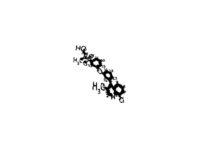 Cc1cnc2c(Cl)cccc2c1-c1cccc(Oc2cccc(S(=O)(=O)N(C)CCO)c2)c1